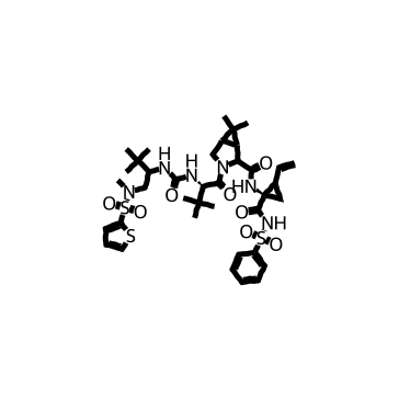 C=CC1C[C@]1(NC(=O)C1C2C(CN1C(=O)[C@@H](NC(=O)NC(CN(C)S(=O)(=O)c1cccs1)C(C)(C)C)C(C)(C)C)C2(C)C)C(=O)NS(=O)(=O)c1ccccc1